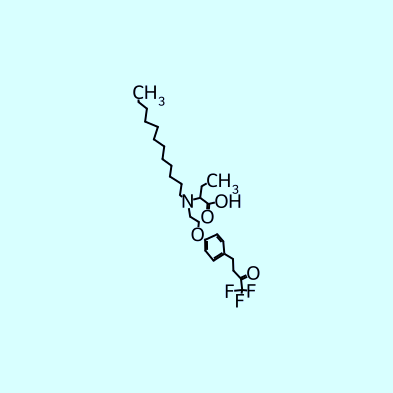 CCCCCCCCCCCCN(CCOc1ccc(CCC(=O)C(F)(F)F)cc1)C(CC)C(=O)O